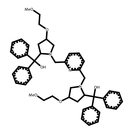 COCCOC1CC(C(O)(c2ccccc2)c2ccccc2)N(Cc2cccc(CN3CC(OCCOC)CC3C(O)(c3ccccc3)c3ccccc3)n2)C1